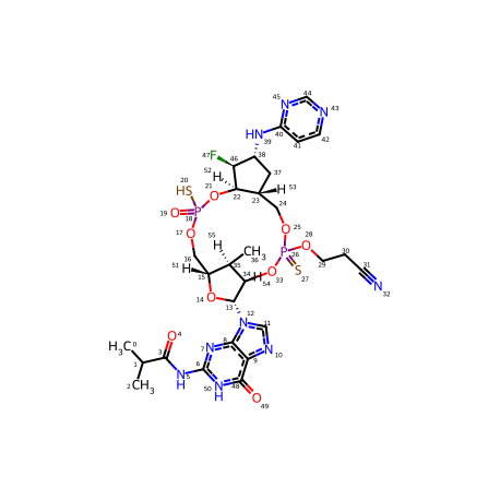 CC(C)C(=O)Nc1nc2c(ncn2[C@@H]2O[C@@H]3COP(=O)(S)O[C@@H]4[C@@H](COP(=S)(OCCC#N)O[C@@H]2[C@@H]3C)C[C@@H](Nc2ccncn2)[C@@H]4F)c(=O)[nH]1